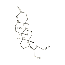 C[C@]12CCC(=O)C=C1CC[C@H]1[C@@H]3CCC(=C(CO)NC=O)[C@@]3(C)CC[C@@]12O